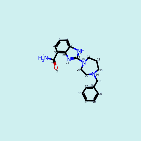 NC(=O)c1cccc2[nH]c(N3CCCN(Cc4ccccc4)CC3)nc12